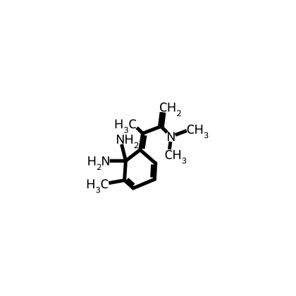 C=C(/C(C)=C1\C=CC=C(C)C1(N)N)N(C)C